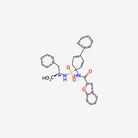 O=C(NC1(S(=O)(=O)N[C@H](Cc2ccccc2)C(=O)O)C=CC(c2ccccc2)=CC1)c1cc2ccccc2o1